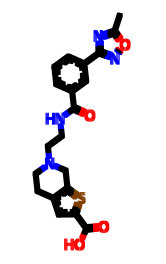 Cc1nc(-c2cccc(C(=O)NCCN3CCc4cc(C(=O)O)sc4C3)c2)no1